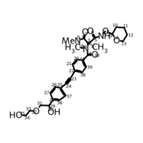 CNC(=O)[C@@](C)(C(=O)NOC1CCCCO1)N(C)C(=O)c1ccc(C#Cc2ccc(C(O)COCCO)cc2)cc1